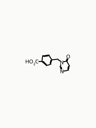 O=C(O)c1ccc(Cn2cnccc2=O)cc1